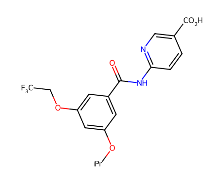 CC(C)Oc1cc(OCC(F)(F)F)cc(C(=O)Nc2ccc(C(=O)O)cn2)c1